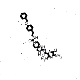 Nc1nc(N)c(C(=O)/N=C2\NCC3(CCN(C(=O)NCCc4ccc(OCc5ccccc5)cc4)CC3)N2)nc1Cl